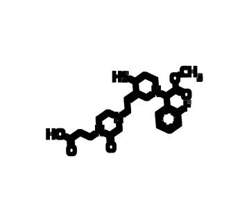 COC(=O)C(c1ccccc1F)N1CCC(S)/C(=C/CN2CCN(CCC(=O)O)C(=O)C2)C1